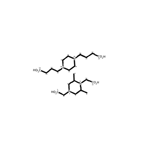 CC1CN(CC(=O)O)CC(C)N1CC(=O)O.O=C(O)CCCN1CCN(CCCC(=O)O)CC1